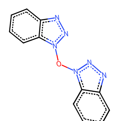 c1ccc2c(c1)nnn2On1nnc2ccccc21